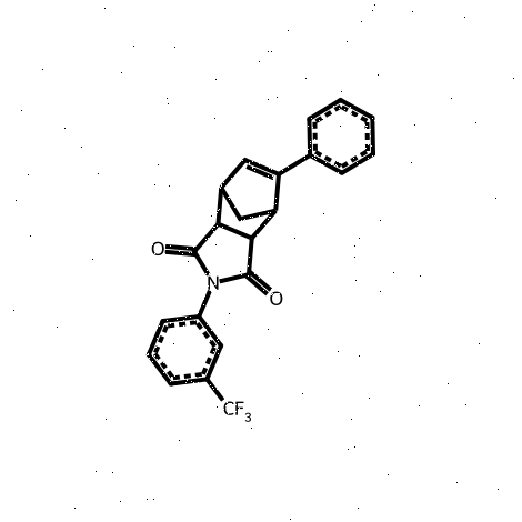 O=C1C2C3C=C(c4ccccc4)C(C3)C2C(=O)N1c1cccc(C(F)(F)F)c1